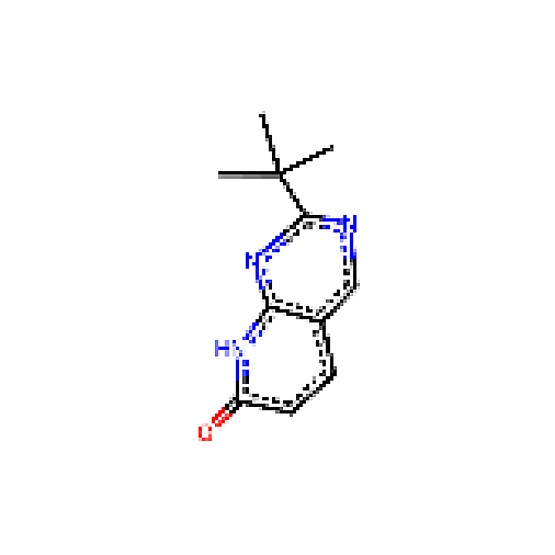 CC(C)(C)c1ncc2ccc(=O)[nH]c2n1